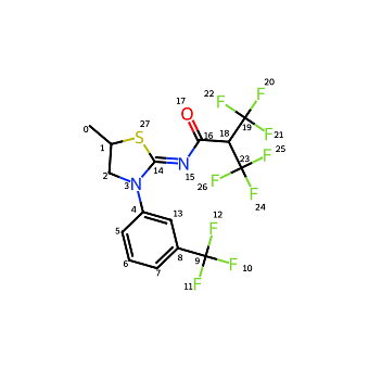 CC1CN(c2cccc(C(F)(F)F)c2)C(=NC(=O)C(C(F)(F)F)C(F)(F)F)S1